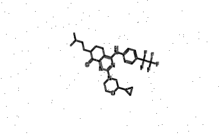 CC(C)CCC1CCc2c(Nc3ccc(C(F)(F)C(F)(F)F)cc3)nc(N3CCOC(C4CC4)C3)nc2C1=O